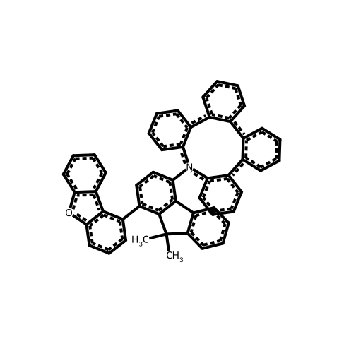 CC1(C)c2ccccc2-c2c(-n3c4ccccc4c4ccccc4c4ccccc4c4ccccc43)ccc(-c3cccc4oc5ccccc5c34)c21